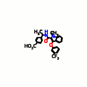 CC(NC(=O)c1c(Oc2cccc(C(F)(F)F)c2)c2ccccc2n1C)c1ccc(C(=O)O)cc1